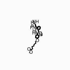 COC(=O)CCCCCCOc1ccc(NC(=O)c2cccc(/C(=C/C=N)NPI)n2)c(OC)c1